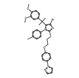 COc1ccc(C(C)(C)c2c(Br)nc(SCCOc3ccc(-n4cccn4)cc3)n2-c2ccc(F)cc2)cc1OC